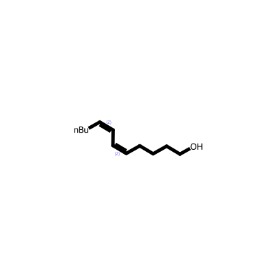 CCCC/C=C\C=C/CCCCO